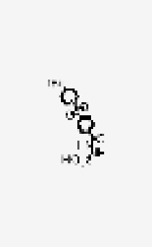 CC(C)(C)C1CCN(S(=O)(=O)c2ccc(C(=O)NNC(=O)O)cc2)CC1